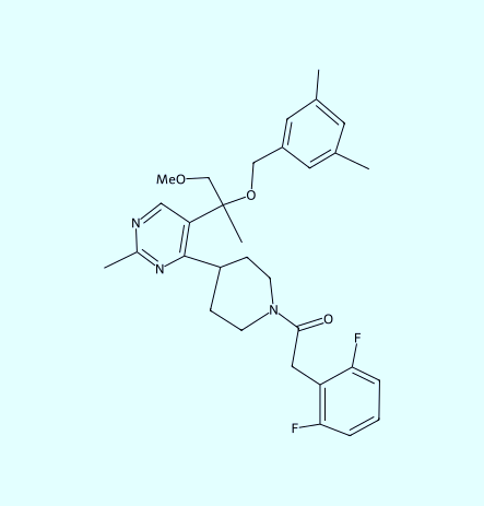 COCC(C)(OCc1cc(C)cc(C)c1)c1cnc(C)nc1C1CCN(C(=O)Cc2c(F)cccc2F)CC1